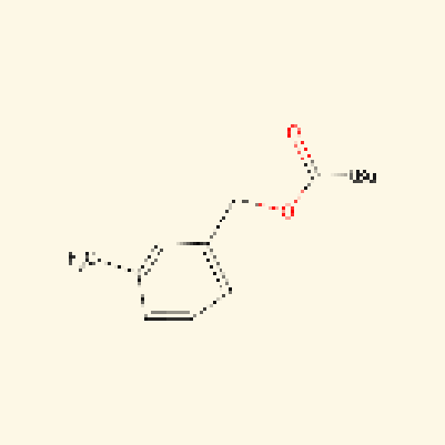 CC(C)(C)C(=O)OCc1cccc(C(F)(F)F)c1